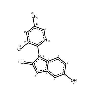 O=c1sc2cc(O)ccc2n1-c1ncc(C(F)(F)F)cc1Cl